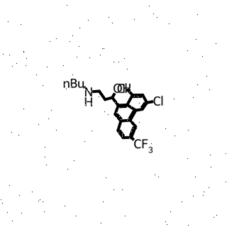 CCCCNCCC(O)c1cc2ccc(C(F)(F)F)cc2c2cc(Cl)cc(Cl)c12